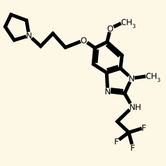 COc1cc2c(cc1OCCCN1CCCC1)nc(NCC(F)(F)F)n2C